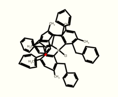 Cc1cc(C)c(Cc2ccccc2)c([Si](Cl)(c2c(Cc3ccccc3)c(C)cc(C)c2Cc2ccccc2)c2c(Cc3ccccc3)c(C)cc(C)c2Cc2ccccc2)c1Cc1ccccc1